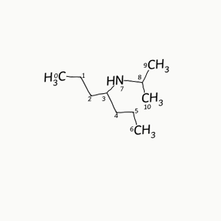 CCCC(CCC)NC(C)C